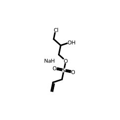 C=CCS(=O)(=O)OCC(O)CCl.[NaH]